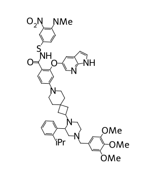 CNc1ccc(SNC(=O)c2ccc(N3CCC4(CC3)CC(N3CCN(Cc5cc(OC)c(OC)c(OC)c5)CC3c3ccccc3C(C)C)C4)cc2Oc2cnc3[nH]ccc3c2)cc1[N+](=O)[O-]